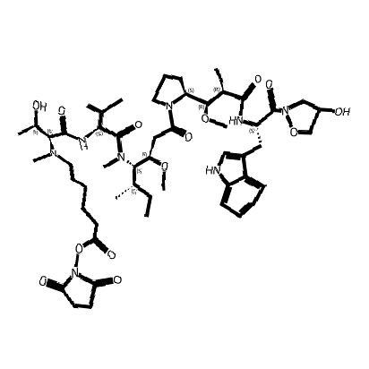 CC[C@H](C)[C@@H]([C@@H](CC(=O)N1CCC[C@H]1[C@H](OC)[C@@H](C)C(=O)N[C@@H](Cc1c[nH]c2ccccc12)C(=O)N1CC(O)CO1)OC)N(C)C(=O)[C@@H](NC(=O)[C@H]([C@@H](C)O)N(C)CCCCCC(=O)ON1C(=O)CCC1=O)C(C)C